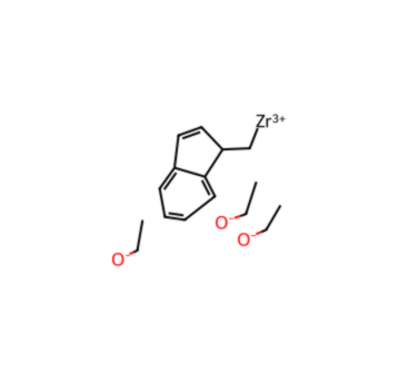 CC[O-].CC[O-].CC[O-].[Zr+3][CH2]C1C=Cc2ccccc21